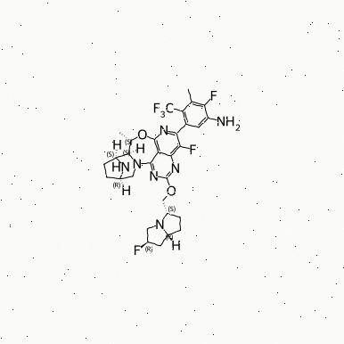 Cc1c(F)c(N)cc(-c2nc3c4c(nc(OC[C@@H]5CC[C@@H]6C[C@@H](F)CN65)nc4c2F)N2C[C@H]4CC[C@H](N4)[C@H]2[C@H](C)O3)c1C(F)(F)F